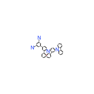 N#Cc1cc(C#N)cc(-c2ccc(-n3c4ccccc4c4cc(-n5c6ccccc6c6ccccc65)ccc43)c(-c3ccccc3)c2)c1